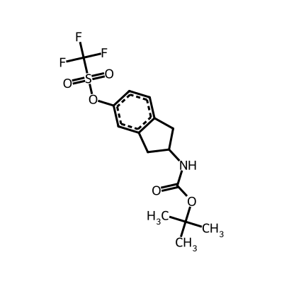 CC(C)(C)OC(=O)NC1Cc2ccc(OS(=O)(=O)C(F)(F)F)cc2C1